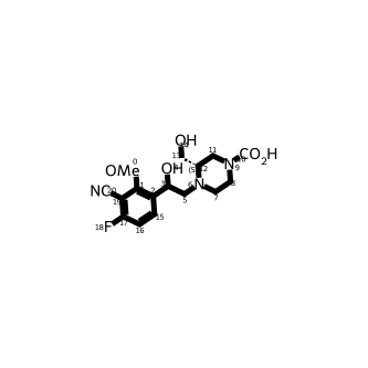 COc1c(C(O)CN2CCN(C(=O)O)C[C@H]2CO)ccc(F)c1C#N